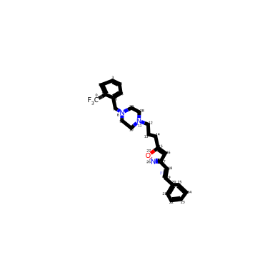 FC(F)(F)c1ccccc1CN1CCN(CCCc2cc(/C=C/c3ccccc3)no2)CC1